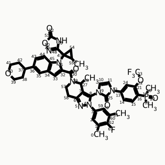 Cc1cc(-n2nc3c(c2-n2ccn(-c4ccc(P(C)(C)=O)c(OC(F)(F)F)c4)c2=O)C(C)N(C(=O)c2cc4cc(C5CCOCC5)ccc4n2C2(c4noc(=O)[nH]4)CC2C)CC3)cc(C)c1F